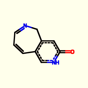 O=c1cc2c(c[nH]1)C=CC=NC2